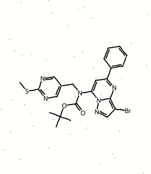 CSc1ncc(CN(C(=O)OC(C)(C)C)c2cc(-c3ccccc3)nc3c(Br)cnn23)cn1